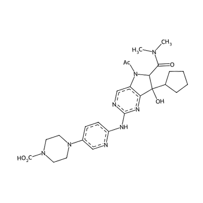 CC(=O)N1c2cnc(Nc3ccc(N4CCN(C(=O)O)CC4)cn3)nc2C(O)(C2CCCC2)C1C(=O)N(C)C